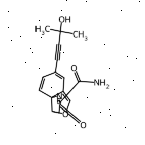 CC(C)(O)C#CC1=CC2=COC3CC(=O)SC(C(N)=O)=NC23C=C1